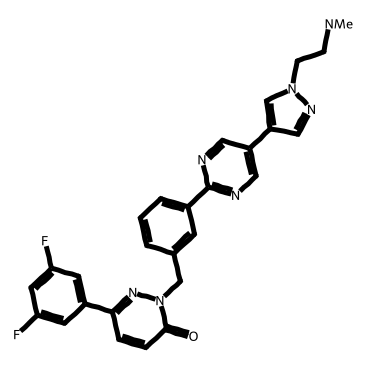 CNCCn1cc(-c2cnc(-c3cccc(Cn4nc(-c5cc(F)cc(F)c5)ccc4=O)c3)nc2)cn1